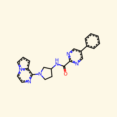 O=C(NC1CCN(c2nccn3cccc23)C1)c1ncc(-c2ccccc2)cn1